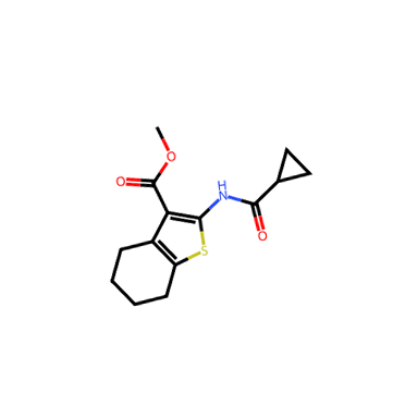 COC(=O)c1c(NC(=O)C2CC2)sc2c1CCCC2